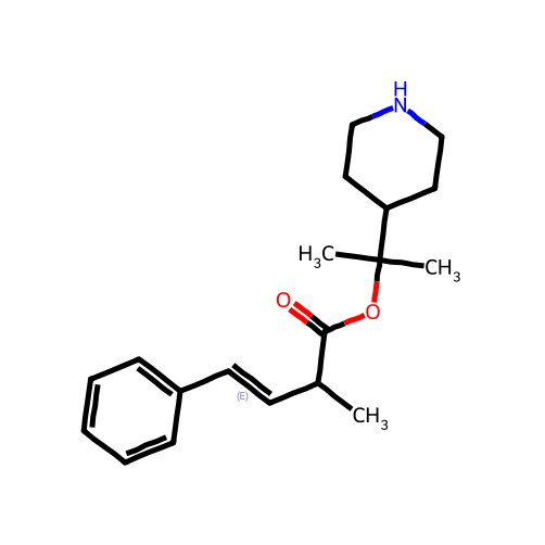 CC(/C=C/c1ccccc1)C(=O)OC(C)(C)C1CCNCC1